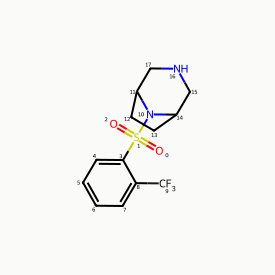 O=S(=O)(c1ccccc1C(F)(F)F)N1C2CCC1CNC2